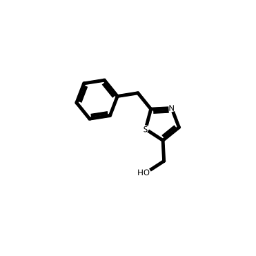 OCc1cnc(Cc2ccccc2)s1